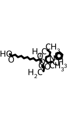 C=CC(=O)OC1C(OC(=O)CCCCCCCCC(=O)O)CC(CC(C)C)N(c2ccccc2)C1(C)C